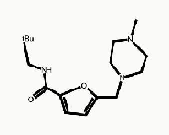 CN1CCN(Cc2ccc(C(=O)NCC(C)(C)C)o2)CC1